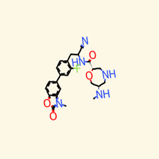 CN[C@H]1CNC[C@@H](C(=O)NC(C#N)Cc2ccc(-c3ccc4oc(=O)n(C)c4c3)cc2F)OC1